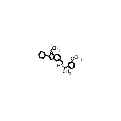 CCn1c(-c2ccccc2)cc2cc(CNC(C)c3cccc(OC)c3)ccc21